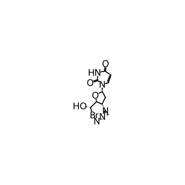 [N-]=[N+]=N[C@H]1C[C@H](n2ccc(=O)[nH]c2=O)O[C@@H]1[C@@H](O)Br